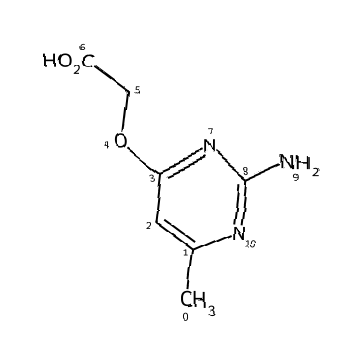 Cc1cc(OCC(=O)O)nc(N)n1